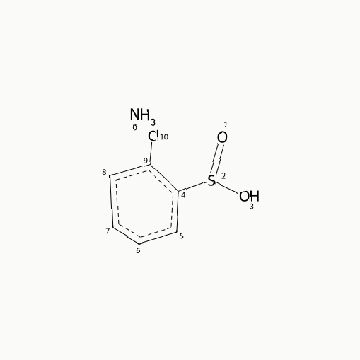 N.O=S(O)c1ccccc1Cl